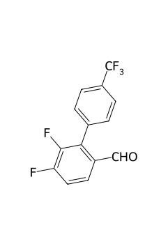 O=Cc1ccc(F)c(F)c1-c1ccc(C(F)(F)F)cc1